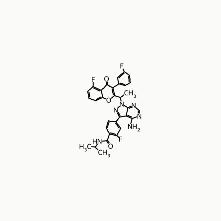 CC(C)NC(=O)c1ccc(-c2nn(C(C)c3oc4cccc(F)c4c(=O)c3-c3cccc(F)c3)c3ncnc(N)c23)cc1F